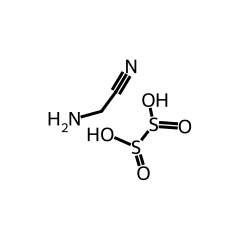 N#CCN.O=S(O)S(=O)O